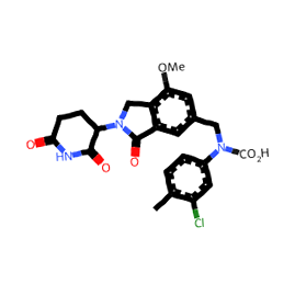 COc1cc(CN(C(=O)O)c2ccc(C)c(Cl)c2)cc2c1CN(C1CCC(=O)NC1=O)C2=O